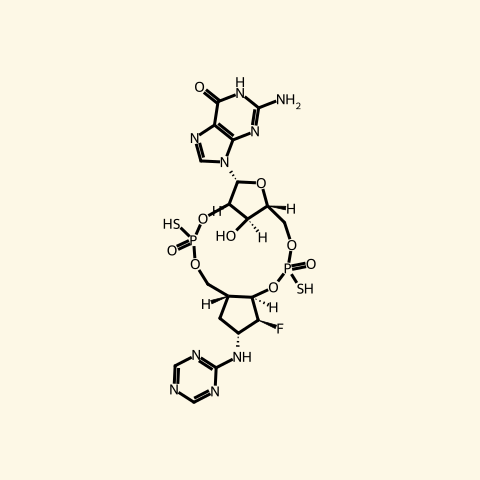 Nc1nc2c(ncn2[C@@H]2O[C@@H]3COP(=O)(S)O[C@@H]4[C@@H](COP(=O)(S)O[C@@H]2[C@@H]3O)C[C@@H](Nc2ncncn2)[C@@H]4F)c(=O)[nH]1